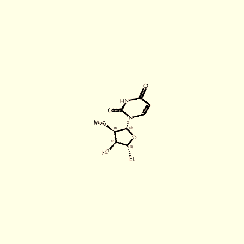 CC[C@H]1O[C@@H](n2ccc(=O)[nH]c2=O)[C@H](OC)[C@@H]1O